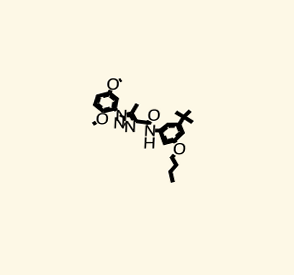 CCCCOc1cc(NC(=O)c2nnn(-c3cc(OC)ccc3OC)c2C)cc(C(C)(C)C)c1